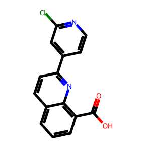 O=C(O)c1cccc2ccc(-c3ccnc(Cl)c3)nc12